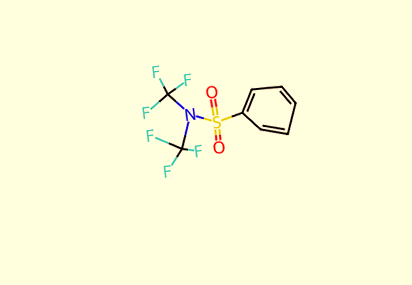 O=S(=O)(c1ccccc1)N(C(F)(F)F)C(F)(F)F